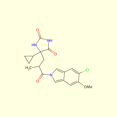 COc1cc2cn(C(=O)C(C)CC3(C4CC4)NC(=O)NC3=O)cc2cc1Cl